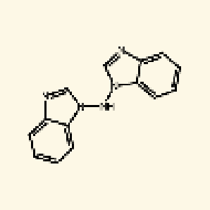 c1ccc2c(c1)ncn2Nn1cnc2ccccc21